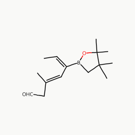 C/C=C(\C=C(/C)CC=O)B1CC(C)(C)C(C)(C)O1